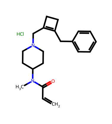 C=CC(=O)N(C)C1CCN(CC2=C(Cc3ccccc3)CC2)CC1.Cl